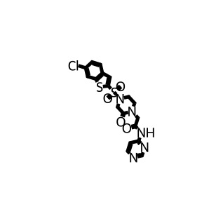 O=C(CN1CCN(S(=O)(=O)c2cc3ccc(Cl)cc3s2)CC1=O)Nc1ccncn1